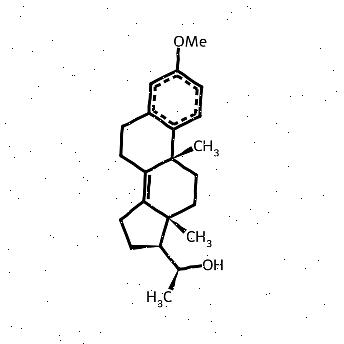 COc1ccc2c(c1)CCC1=C3CC[C@H]([C@H](C)O)[C@@]3(C)CC[C@]12C